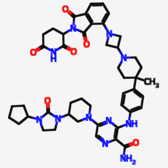 CC1(c2ccc(Nc3nc(N4CCCC(N5CCN(C6CCCC6)C5=O)C4)cnc3C(N)=O)cc2)CCN(C2CN(c3cccc4c3C(=O)N(C3CCC(=O)NC3=O)C4=O)C2)CC1